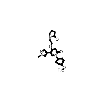 Cn1cc(-c2cn(-c3ccc(OC(F)(F)F)cc3)c(=O)cc2OCCN2CCCC2=O)cn1